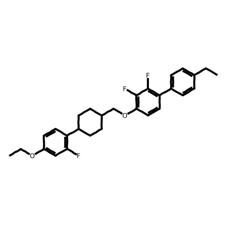 CCOc1ccc(C2CCC(COc3ccc(-c4ccc(CC)cc4)c(F)c3F)CC2)c(F)c1